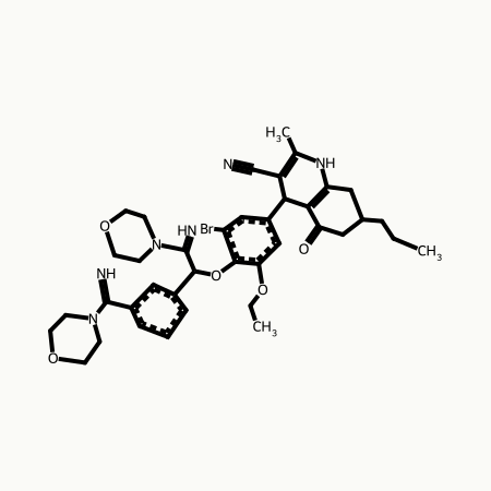 CCCC1CC(=O)C2=C(C1)NC(C)=C(C#N)C2c1cc(Br)c(OC(C(=N)N2CCOCC2)c2cccc(C(=N)N3CCOCC3)c2)c(OCC)c1